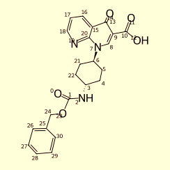 O=C(N[C@H]1CC[C@H](n2cc(C(=O)O)c(=O)c3cccnc32)CC1)OCc1ccccc1